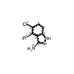 CC(C)c1c(Cl)ccc2[nH]nc(N)c12